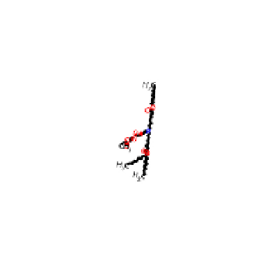 CCCCCCCCCOC(=O)CCCCCCCN(CCCCCCCC(=O)OC(CCCCCCCC)CCCCCCCC)CCCCC(=O)OCCOC(=O)CC